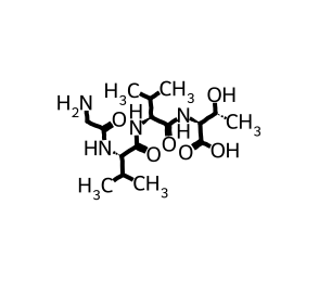 CC(C)[C@H](NC(=O)CN)C(=O)N[C@H](C(=O)N[C@H](C(=O)O)[C@@H](C)O)C(C)C